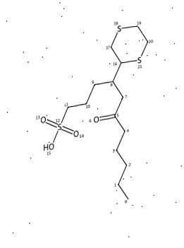 CCCCCC(=O)CC(CCCS(=O)(=O)O)C1CSCCS1